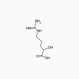 N=C(N)NCCCC(O)C(=O)O